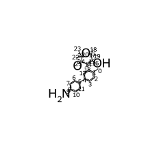 Cc1ccc(-c2ccc(N)cc2)cc1C1=C(O)C(C)(C)OC(C)(C)C1=O